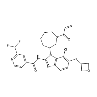 C=CC(=O)N1CCCCC(n2c(NC(=O)c3ccnc(C(F)F)c3)nc3ccc(OC4COC4)c(Cl)c32)C1